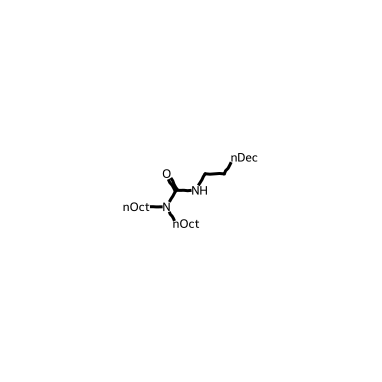 CCCCCCCCCCCCNC(=O)N(CCCCCCCC)CCCCCCCC